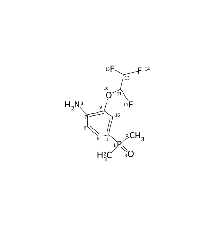 CP(C)(=O)c1ccc(N)c(OC(F)C(F)F)c1